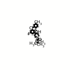 Cc1ccc(Sc2ccc(F)cc2C2(O)CCN(C(=O)OC(C)(C)C)CC2)c(Cl)c1